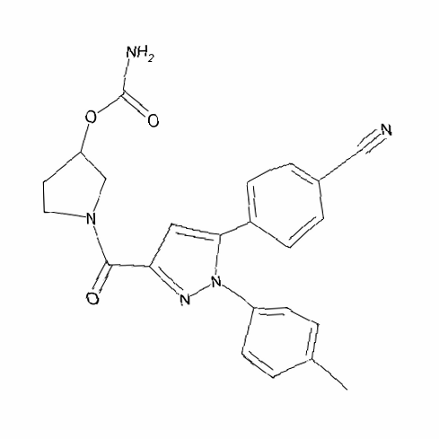 Cc1ccc(-n2nc(C(=O)N3CCC(OC(N)=O)C3)cc2-c2ccc(C#N)cc2)cc1